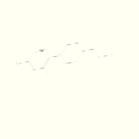 O=[N+]([O-])c1ccc(N2CCC(CCO)CC2)c(F)c1